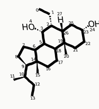 CC[C@H]1[C@@H](O)C2C3CC[C@H]([C@H](C)CC)[C@@]3(C)CCC2[C@@]2(C)CC[C@@H](O)C[C@@H]12